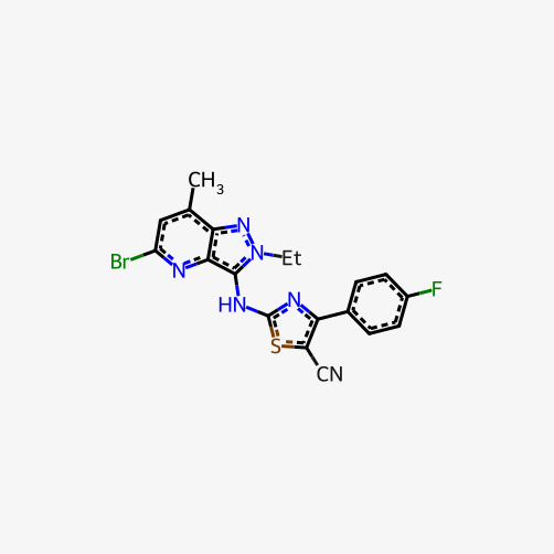 CCn1nc2c(C)cc(Br)nc2c1Nc1nc(-c2ccc(F)cc2)c(C#N)s1